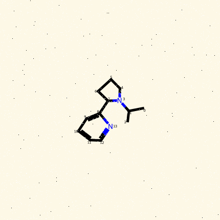 CC(C)N1CCCC1c1ccccn1